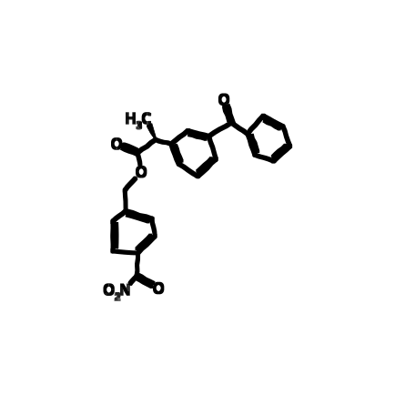 C[C@H](C(=O)OCc1ccc(C(=O)[N+](=O)[O-])cc1)c1cccc(C(=O)c2ccccc2)c1